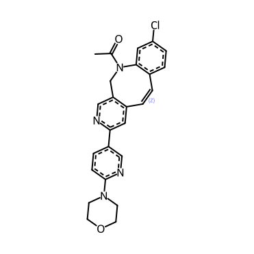 CC(=O)N1Cc2cnc(-c3ccc(N4CCOCC4)nc3)cc2/C=C\c2ccc(Cl)cc21